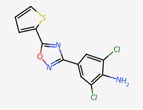 Nc1c(Cl)cc(-c2noc(-c3cccs3)n2)cc1Cl